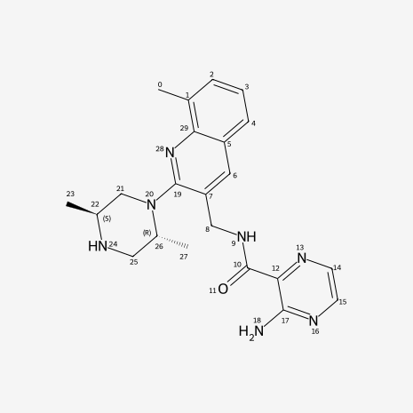 Cc1cccc2cc(CNC(=O)c3nccnc3N)c(N3C[C@H](C)NC[C@H]3C)nc12